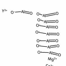 [Ce+3].[Mg+2].[O]=[Al][O-].[O]=[Al][O-].[O]=[Al][O-].[O]=[Al][O-].[O]=[Al][O-].[O]=[Al][O-].[O]=[Al][O-].[O]=[Al][O-].[Y+3]